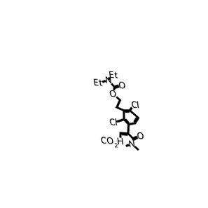 CCN(CC)C(=O)OCCc1c(Cl)ccc(C(=CC(=O)O)C(=O)N(C)C)c1Cl